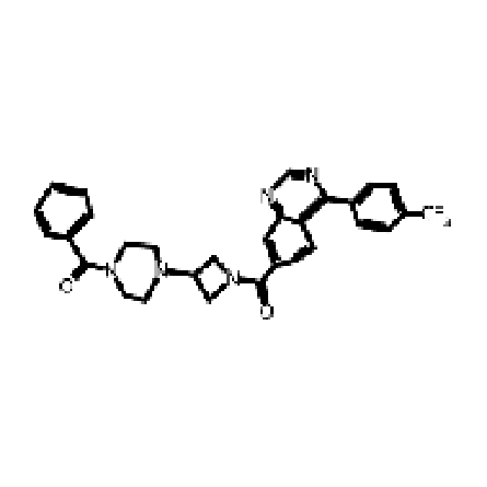 O=C(c1ccccc1)N1CCN(C2CN(C(=O)c3ccc4c(-c5ccc(C(F)(F)F)cc5)ncnc4c3)C2)CC1